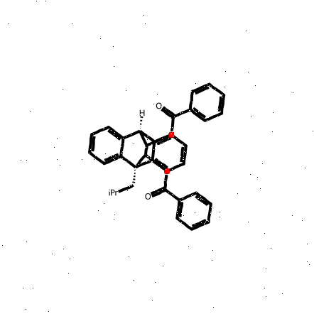 CC(C)C[C@]12c3ccccc3[C@H](c3ccccc31)C(OC(=O)c1ccccc1)C2OC(=O)c1ccccc1